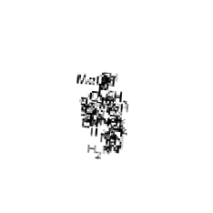 COP(=O)(S)OCC1O[C@@H](n2c(=O)sc3c(=O)[nH]c(N)nc32)[C@H](O[P@](=O)(S)OCC2C[C@@H](F)[C@H](n3cnc4c(N)ncnc43)O2)[C@H]1C